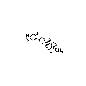 Cn1ncc(S(=O)(=O)N2CCC(c3cn4ncnc4cc3F)CC2)c1C(F)F